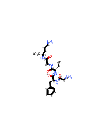 CC(C)C[C@H](NC(=O)[C@H](Cc1ccccc1)NC(=O)CN)C(=O)NCC(=O)N[C@@H](CCCN)C(=O)O